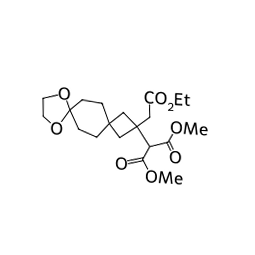 CCOC(=O)CC1(C(C(=O)OC)C(=O)OC)CC2(CCC3(CC2)OCCO3)C1